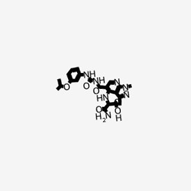 Cc1nn(C)c2ncc(C(=O)NC(=O)Nc3cccc(OC(C)C)c3)c(NC(C(N)=O)C(=O)O)c12